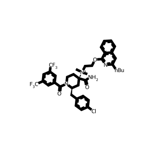 CCCCc1cc2ccccc2c(OCC[N+](C)(C)[C@@]2(C(N)=O)CCN(C(=O)c3cc(C(F)(F)F)cc(C(F)(F)F)c3)[C@H](Cc3ccc(Cl)cc3)C2)n1